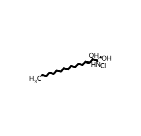 CCCCCCCCCCCCC/C=C/[C@@H](O)[C@H](CO)NCl